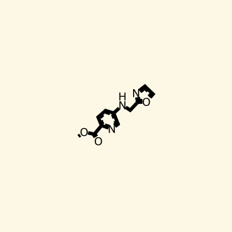 COC(=O)c1ccc(NCc2ncco2)cn1